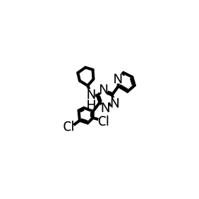 Clc1ccc(-c2nnc(-c3ccccn3)nc2NC2CCCCC2)c(Cl)c1